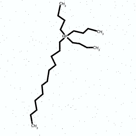 CCCCCCCCCCCC[PH](CCCC)(CCCC)CCCC